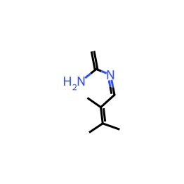 C=C(N)/N=C\C(C)=C(C)C